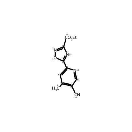 CCOC(=O)c1noc(-c2cc(C)c(C#N)cn2)n1